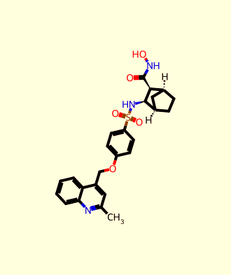 Cc1cc(COc2ccc(S(=O)(=O)N[C@@H]3[C@@H]4CC[C@@H](C4)[C@@H]3C(=O)NO)cc2)c2ccccc2n1